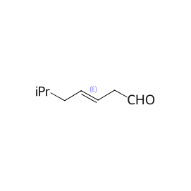 CC(C)C/C=C/CC=O